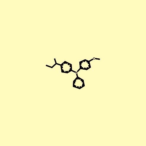 CCC(C)c1ccc(N(c2ccccc2)c2ccc(OC)cc2)cc1